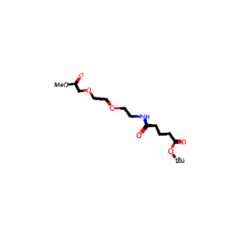 COC(=O)COCCOCCNC(=O)CCCC(=O)OC(C)(C)C